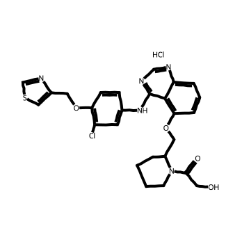 Cl.O=C(CO)N1CCCCC1COc1cccc2ncnc(Nc3ccc(OCc4cscn4)c(Cl)c3)c12